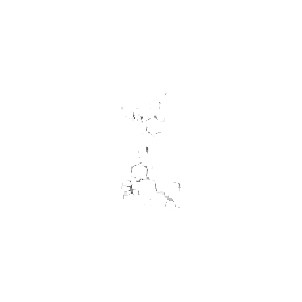 CCOc1ccc(COc2ccc3c(c2)C=C(C(=O)OC)CCS3(=O)=O)cc1OCC